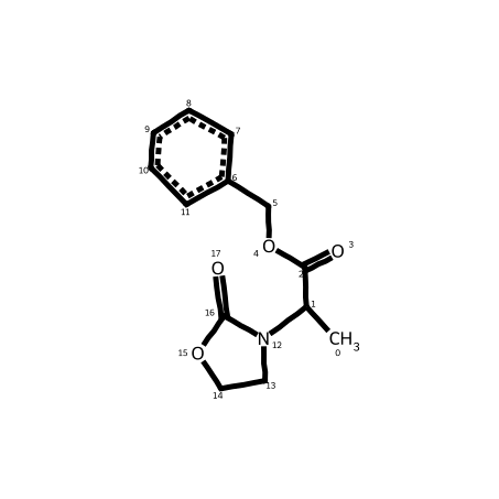 CC(C(=O)OCc1ccccc1)N1CCOC1=O